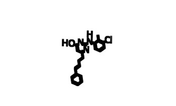 Cc1c(Cl)cccc1Nc1nc(O)cc(CCC=Cc2ccccc2)n1